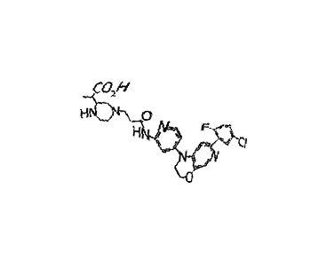 CC(C(=O)O)C1CN(CCC(=O)Nc2cc(N3CCOc4cnc(-c5cc(Cl)ccc5F)cc43)ccn2)CCN1